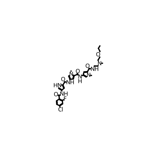 CCCOCCN(C)CCNC(=O)c1cc(NC(=O)c2cc(NC(=O)c3cc(NC(=O)c4ccc(Cl)cc4F)c[nH]3)cn2C)cn1C